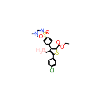 BCc1c(-c2ccc(Cl)cc2)sc(C(=O)OCC)c1-c1ccc(S(=O)(=O)/N=C\N(C)C)cc1